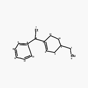 CCC(C)CC1CC=C(C(CC)c2ccccc2)CC1